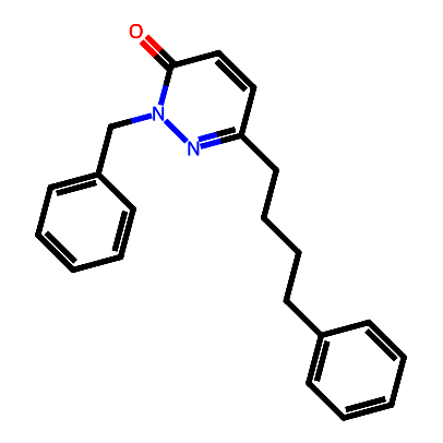 O=c1ccc(CCCCc2ccccc2)nn1Cc1ccccc1